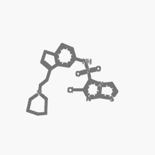 O=S(=O)(Nc1ccc2c(c1)C(CCN1CCCCC1)=CC2)c1c(Cl)nc2sccn12